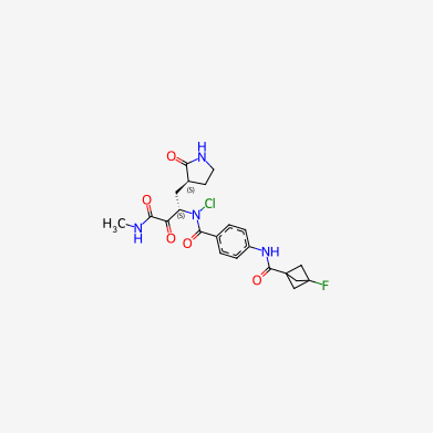 CNC(=O)C(=O)[C@H](C[C@@H]1CCNC1=O)N(Cl)C(=O)c1ccc(NC(=O)C23CC(F)(C2)C3)cc1